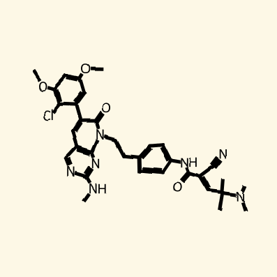 CNc1ncc2cc(-c3cc(OC)cc(OC)c3Cl)c(=O)n(CCc3ccc(NC(=O)C(C#N)=CC(C)(C)N(C)C)cc3)c2n1